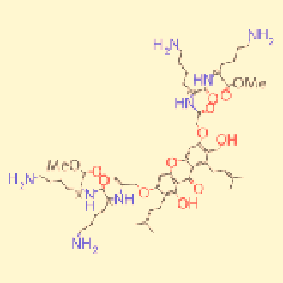 C=C(COc1cc2oc3cc(OCC(=O)N[C@@H](CCCCN)C(=O)N[C@@H](CCCCN)C(=O)OC)c(CO)c(CC=C(C)C)c3c(=O)c2c(O)c1CC=C(C)C)N[C@@H](CCCCN)C(=O)N[C@@H](CCCCN)C(=O)OC